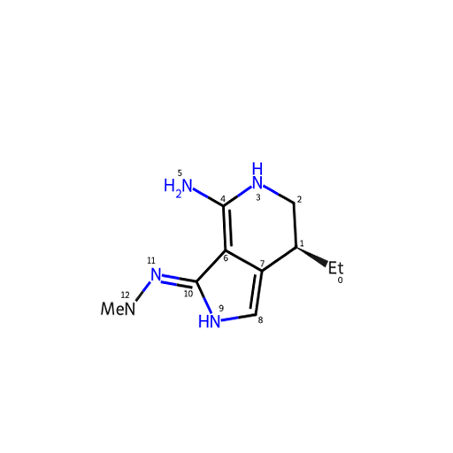 CC[C@@H]1CNC(N)=C2C1=CNC2=NNC